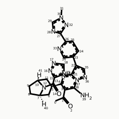 CC(=O)c1c([C@H]2C[C@H]3CC[C@@H](C2)N3C(=O)c2nnc[nH]2)nc2c(-c3ccc(-c4ncn(C)n4)nc3)cnn2c1N